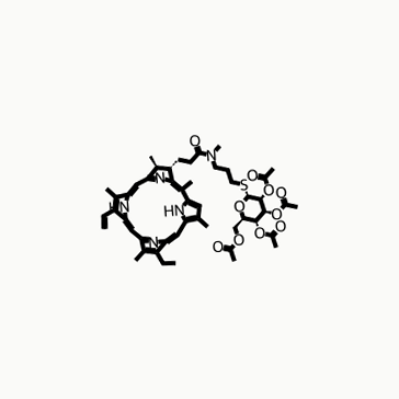 C=Cc1c(C)c2cc3nc(c(C)c4cc(C)c(cc5nc(cc1[nH]2)C(C)=C5CC)[nH]4)[C@@H](CCC(=O)N(C)CCCS[C@H]1O[C@H](COC(C)=O)[C@@H](OC(C)=O)[C@H](OC(C)=O)[C@@H]1OC(C)=O)[C@@H]3C